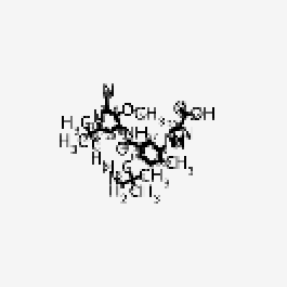 CC(C)(C)CN.COc1c(NC(=O)c2ccc(C)c(-n3cc(C(=O)O)nn3)c2)cc(C(C)(C)C)nc1C#N